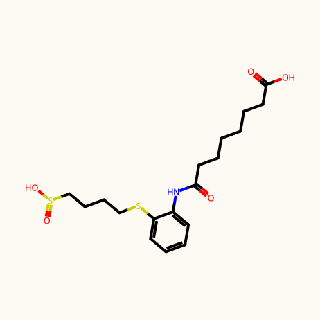 O=C(O)CCCCCCC(=O)Nc1ccccc1SCCCCS(=O)O